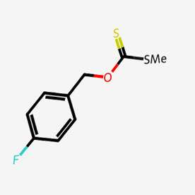 CSC(=S)OCc1ccc(F)cc1